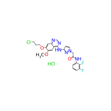 COc1cc2c(Nc3ccn(CC(=O)Nc4cccc(F)c4F)n3)ncnc2cc1OCCCCl.Cl